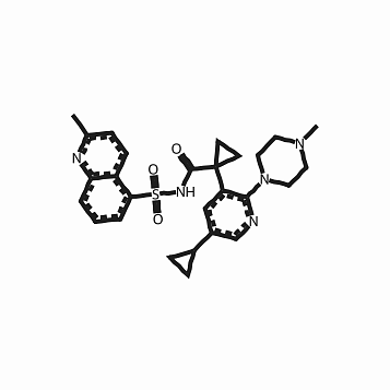 Cc1ccc2c(S(=O)(=O)NC(=O)C3(c4cc(C5CC5)cnc4N4CCN(C)CC4)CC3)cccc2n1